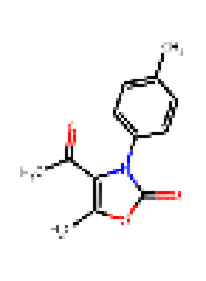 CC(=O)c1c(C)oc(=O)n1-c1ccc(C)cc1